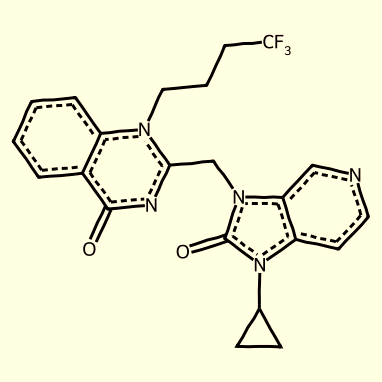 O=c1nc(Cn2c(=O)n(C3CC3)c3ccncc32)n(CCCC(F)(F)F)c2ccccc12